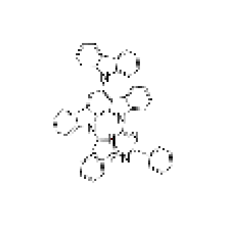 c1ccc(-c2nc(-c3ccccc3)nc(-n3c4ccccc4c4c(-n5c6ccccc6c6ccccc65)cc5c6ccccc6n(-c6ccccc6)c5c43)n2)cc1